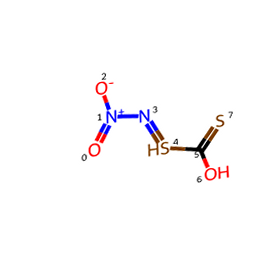 O=[N+]([O-])N=[SH]C(O)=S